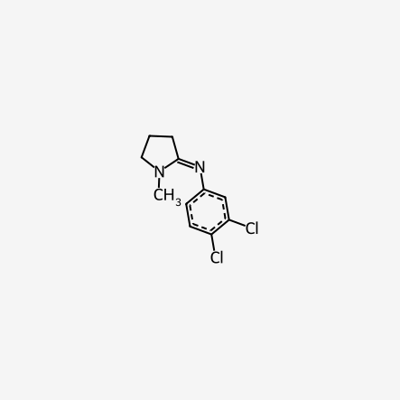 CN1CCC/C1=N/c1ccc(Cl)c(Cl)c1